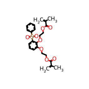 C=C(C)C(=O)OCCOc1cccc(S(=O)(=O)c2ccccc2)c1OCCOC(=O)C(=C)C